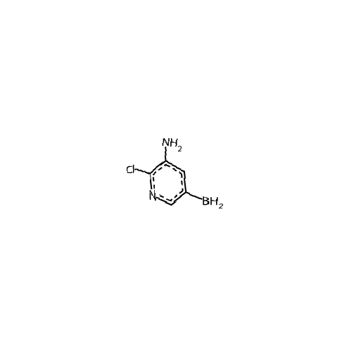 Bc1cnc(Cl)c(N)c1